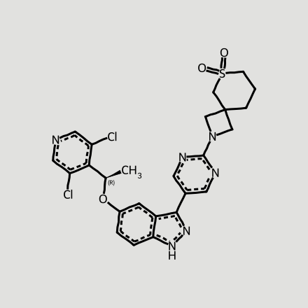 C[C@@H](Oc1ccc2[nH]nc(-c3cnc(N4CC5(CCCS(=O)(=O)C5)C4)nc3)c2c1)c1c(Cl)cncc1Cl